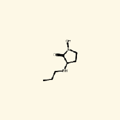 CCCNC1CCN(O)C1=O